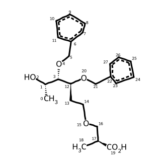 C[C@H](O)[C@H](OCc1ccccc1)[C@H](CCOC[C@H](C)C(=O)O)OCc1ccccc1